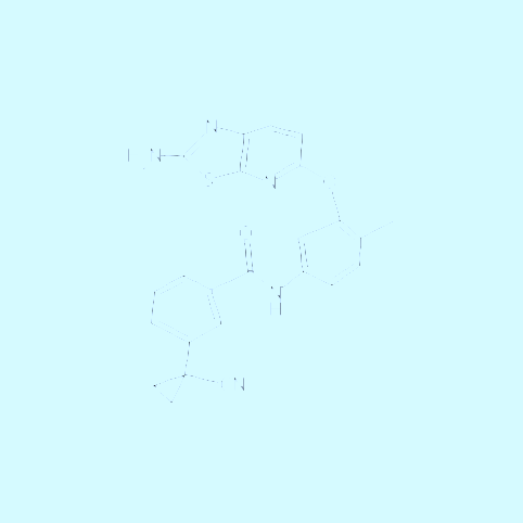 Cc1ccc(NC(=O)c2cccc(C3(C#N)CC3)c2)cc1Oc1ccc2nc(N)sc2n1